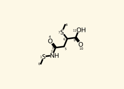 CSNC(=O)CC(SC)C(=O)O